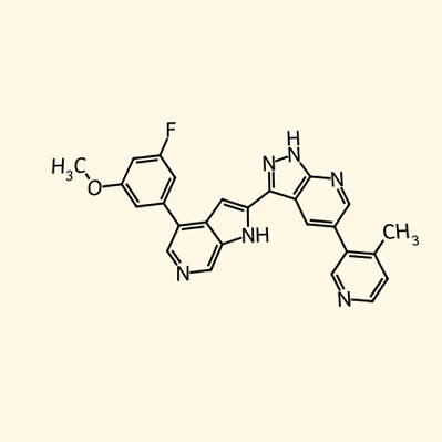 COc1cc(F)cc(-c2cncc3[nH]c(-c4n[nH]c5ncc(-c6cnccc6C)cc45)cc23)c1